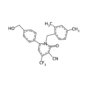 Cc1ccc(Cn2c(-c3ccc(CO)cc3)cc(C(F)(F)F)c(C#N)c2=O)c(C)c1